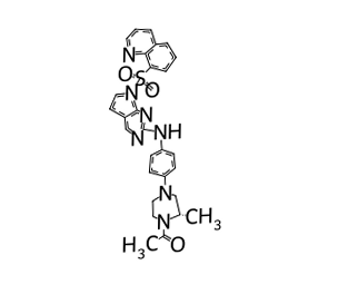 CC(=O)N1CCN(c2ccc(Nc3ncc4ccn(S(=O)(=O)c5cccc6cccnc56)c4n3)cc2)C[C@@H]1C